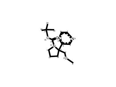 COCC1(c2cnccn2)CCCN1C(=O)OC(C)(C)C